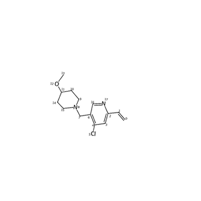 C=Cc1cc(Cl)c(CN2CCC(OC)CC2)cn1